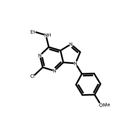 CCNc1nc(Cl)nc2c1ncn2-c1ccc(OC)cc1